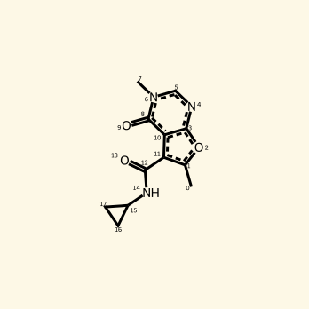 Cc1oc2ncn(C)c(=O)c2c1C(=O)NC1CC1